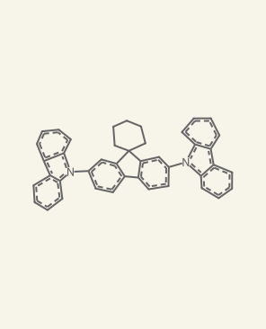 c1ccc2c(c1)c1ccccc1n2-c1ccc2c(c1)C1(CCCCC1)c1cc(-n3c4ccccc4c4ccccc43)ccc1-2